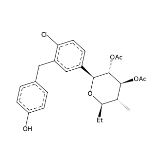 CC[C@H]1O[C@@H](c2ccc(Cl)c(Cc3ccc(O)cc3)c2)[C@H](OC(C)=O)[C@@H](OC(C)=O)[C@@H]1C